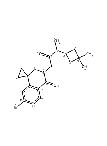 CN(C(=O)CN1CC2(CC2)c2cc(Br)ccc2C1=O)C1CC(C)(O)C1